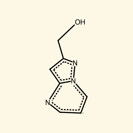 OCc1cc2nc[c]cn2n1